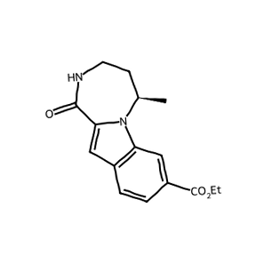 CCOC(=O)c1ccc2cc3n(c2c1)[C@H](C)CCNC3=O